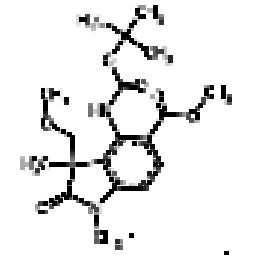 COCC1(C)C(=O)N(C)c2ccc(C(=O)OC)c(NC(=O)OC(C)(C)C)c21